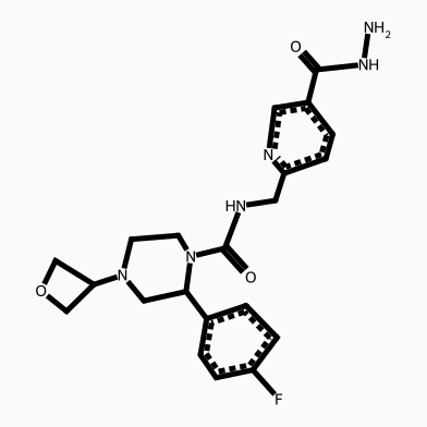 NNC(=O)c1ccc(CNC(=O)N2CCN(C3COC3)CC2c2ccc(F)cc2)nc1